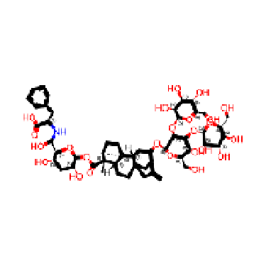 C=C1CC23CC[C@H]4[C@@](C)(CCC[C@@]4(C)C(=O)OC4O[C@H](C(O)N[C@H](Cc5ccccc5)C(=O)O)[C@@H](O)C[C@H]4O)[C@@H]2CC(O[C@@H]2O[C@H](CO)[C@@H](O)C(O[C@@H]4O[C@H](CO)[C@@H](O)[C@H](O)[C@H]4O)[C@H]2O[C@@H]2O[C@H](CO)[C@@H](O)[C@H](O)[C@H]2O)C1C3